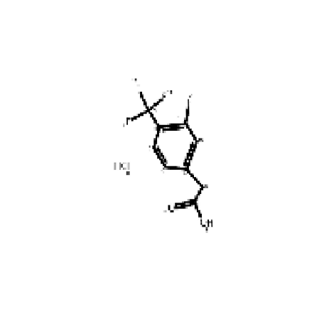 Cl.O=C(O)Cc1ccc(C(F)(F)F)c(F)c1